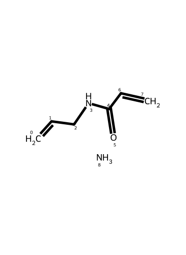 C=CCNC(=O)C=C.N